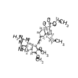 CCC[N+]1(CC2CC2)C=C(C(=O)OCC)C(=O)c2ccc(C#Cc3cc(Cc4cnc(N)nc4N)cc(OC)c3OC)cc21